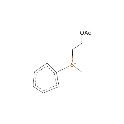 CC(=O)OCC[S+](C)c1ccccc1